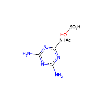 CC(=O)Nc1nc(N)nc(N)n1.O=S(=O)(O)O